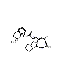 CC1/C=C(/C=C/C(=O)Nc2cccc3c2C[C@@H](O)CC3)N(CC2CCCCC2)C(C)/C=C\C(Cl)=C/1